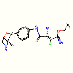 CCOC(=N)/C(Cl)=C(\N)C(=O)Nc1ccc([C@@H]2OC3CN[C@H]32)cc1